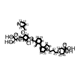 Cc1c(COc2cc(OCc3cccnc3)c(CN[C@@H](CO)C(=O)O)cc2Cl)cccc1-c1cccc2c1CCN2CCCN1CCC(O)(C(=O)O)CC1